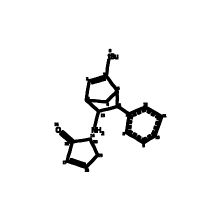 CC(C)(C)C1=CC2CC1C(c1ccccc1)C2N.O=C1C=CCC1